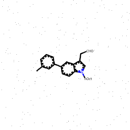 CCCCCCCCn1cc(CC=O)c2cc(-c3cccc(C)c3)ccc21